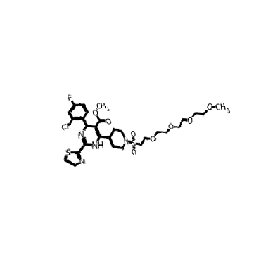 COCCOCCOCCOCCS(=O)(=O)N1CCC(C2=C(C(=O)OC)C(c3ccc(F)cc3Cl)N=C(c3nccs3)N2)CC1